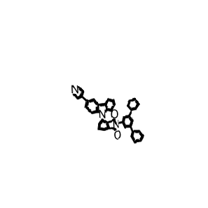 O=C1c2cccc(-n3c4ccccc4c4cc(-c5ccncc5)ccc43)c2C(=O)N1c1cc(-c2ccccc2)cc(-c2ccccc2)c1